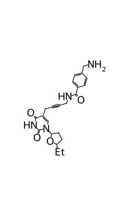 CC[C@@H]1CC[C@H](n2cc(CC#CCNC(=O)c3ccc(CN)cc3)c(=O)[nH]c2=O)O1